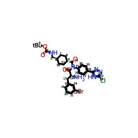 CC(C)(C)OC(=O)NC[C@H]1CC[C@H](C(=O)N(C(=O)[C@@H](N)Cc2cccc(Br)c2)c2ccc(-c3nnc(Cl)[nH]3)cc2)CC1